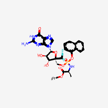 CC(C)OC(=O)[C@H](C)NP(=O)(OC[C@@]1(C(F)F)O[C@@H](n2cnc3c(=O)[nH]c(N)nc32)[C@H](O)[C@H]1O)Oc1cccc2ccccc12